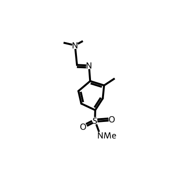 CNS(=O)(=O)c1ccc(/N=C/N(C)C)c(C)c1